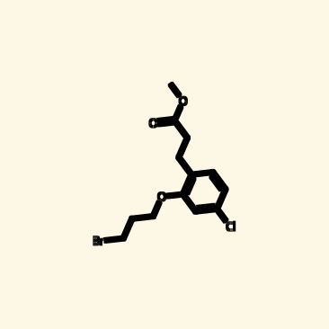 COC(=O)CCc1ccc(Cl)cc1OCCCBr